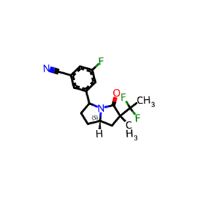 CC(F)(F)C1(C)C[C@@H]2CCC(c3cc(F)cc(C#N)c3)N2C1=O